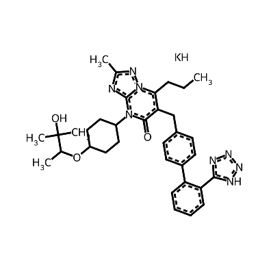 CCCc1c(Cc2ccc(-c3ccccc3-c3nnn[nH]3)cc2)c(=O)n(C2CCC(OC(C)C(C)(C)O)CC2)c2nc(C)nn12.[KH]